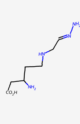 NN=CCNCCC(N)CC(=O)O